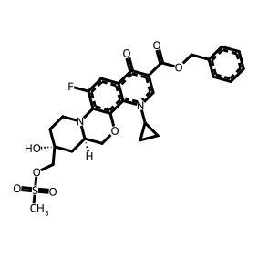 CS(=O)(=O)OC[C@@]1(O)CCN2c3c(F)cc4c(=O)c(C(=O)OCc5ccccc5)cn(C5CC5)c4c3OC[C@H]2C1